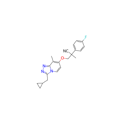 Cc1c(OCC(C)(C#N)c2ccc(F)cc2)ccn2c(CC3CC3)nnc12